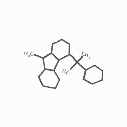 CC1C2CCCCC2C2C1CCCC2C(C)(C)C1CCCCC1